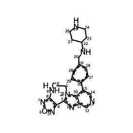 CCn1c(-c2nonc2N)nc2cncc(-c3ccc(CNC4CCNCC4)cc3)c21